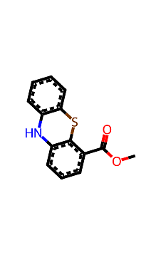 COC(=O)c1cccc2c1Sc1ccccc1N2